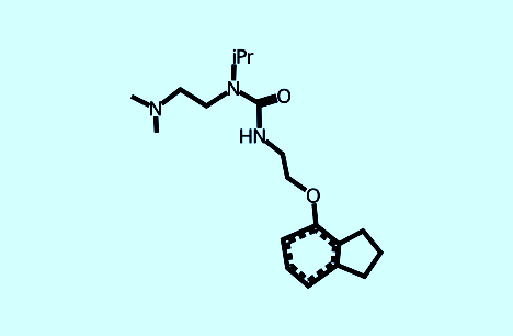 CC(C)N(CCN(C)C)C(=O)NCCOc1cccc2c1CCC2